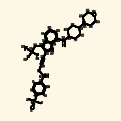 CP(C)(=O)c1ccc(NCC#Cc2sc3c(NC4CCC(N5CCOCC5)CC4)cccc3c2CC(F)(F)F)cc1